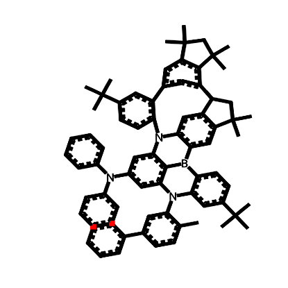 Cc1ccc(-c2ccccc2)cc1N1c2cc(C(C)(C)C)ccc2B2c3cc4c5cc3N(c3ccc(C(C)(C)C)cc3-c3cc6c(c(c3)C5(C)CC4(C)C)C(C)(C)CC6(C)C)c3cc(N(c4ccccc4)c4ccccc4)cc1c32